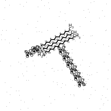 CCCCCCCCCCCCC[NH3+].CCCCCCCCCCCCC[NH3+].CCCCCCCCCCCCC[NH3+].[O]=[Mo](=[O])([O-])[O-].[O]=[Mo](=[O])([O-])[O-].[O]=[Mo](=[O])([O-])[O-].[O]=[Mo](=[O])([O-])[O-].[O]=[Mo](=[O])([O-])[O-].[O]=[Mo](=[O])([O-])[O-].[O]=[Mo](=[O])([O-])[O-].[O]=[Mo](=[O])([O-])[O-]